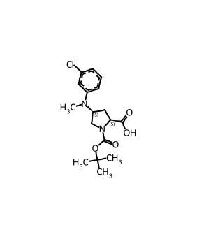 CN(c1cccc(Cl)c1)[C@H]1C[C@@H](C(=O)O)N(C(=O)OC(C)(C)C)C1